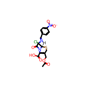 CC(=O)OCC1=C(C(=O)O)N2C(=O)[C@](Cl)(N=Cc3ccc([N+](=O)[O-])cc3)[C@H]2SC1